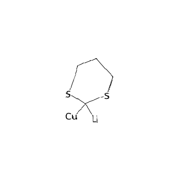 [Li][C]1([Cu])SCCCS1